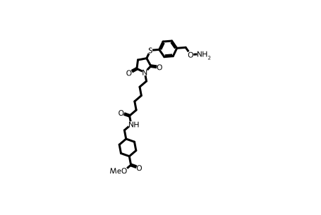 COC(=O)C1CCC(CNC(=O)CCCCCN2C(=O)CC(Sc3ccc(CON)cc3)C2=O)CC1